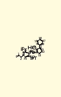 C=CCc1cc(C(C)C)c(N=Cc2cccc(-c3ccccc3)c2O)c(C(C)C)c1